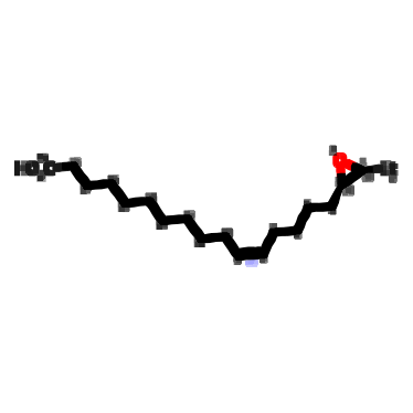 CC[C@@H]1O[C@@H]1CCCC/C=C\CCCCCCCCCC(=O)O